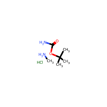 CC(C)(C)OC(N)=O.CN.Cl